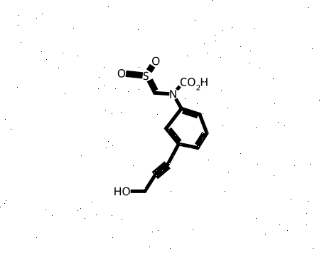 O=C(O)N(C=S(=O)=O)c1cccc(C#CCO)c1